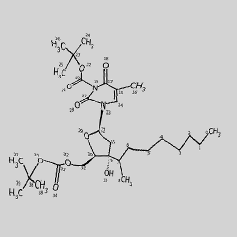 CCCCCCCC(C)[C@]1(O)C[C@H](n2cc(C)c(=O)n(C(=O)OC(C)(C)C)c2=O)O[C@@H]1COC(=O)OC(C)(C)C